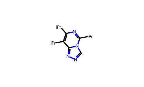 CC(C)c1nc(C(C)C)n2cnnc2c1C(C)C